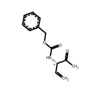 C=C[C@H](NC(=O)OCc1ccccc1)C(C)=O